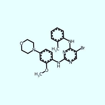 COc1cc(N2CCOCC2)ccc1Nc1ncc(Br)c(Nc2ccccc2C)n1